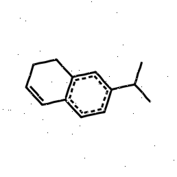 CC(C)c1ccc2c(c1)CCC=C2